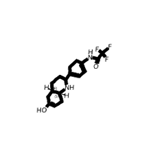 O=C(NC1=CC=C(C2CC[C@@H]3CC(O)=CC[C@@H]3N2)CC1)C(F)(F)F